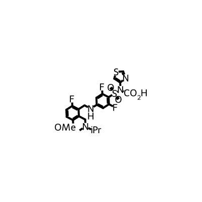 COc1ccc(F)c(CNc2cc(F)c(S(=O)(=O)N(C(=O)O)c3cscn3)c(F)c2)c1CN(C)C(C)C